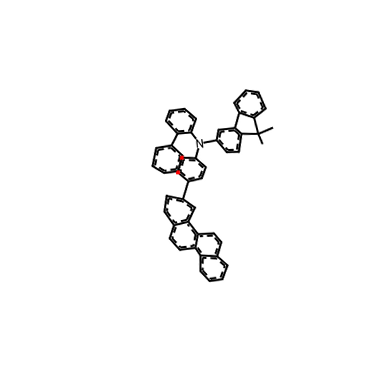 CC1(C)c2ccccc2-c2cc(N(c3ccc(-c4ccc5ccc6c7ccccc7ccc6c5c4)cc3)c3ccccc3-c3ccccc3)ccc21